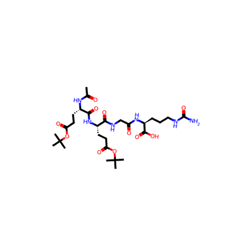 CC(=O)N[C@@H](CCC(=O)OC(C)(C)C)C(=O)N[C@@H](CCC(=O)OC(C)(C)C)C(=O)NCC(=O)N[C@@H](CCCNC(N)=O)C(=O)O